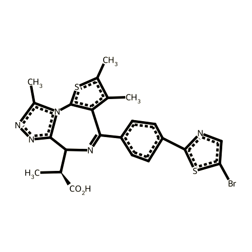 Cc1sc2c(c1C)C(c1ccc(-c3ncc(Br)s3)cc1)=NC([C@H](C)C(=O)O)c1nnc(C)n1-2